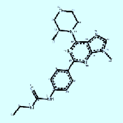 CCNC(=O)Nc1ccc(-c2nc(N3CCOC[C@@H]3C)c3ncn(C)c3n2)cc1